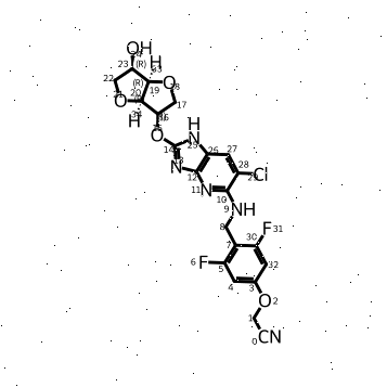 N#CCOc1cc(F)c(CNc2nc3nc(O[C@@H]4CO[C@H]5[C@@H]4OC[C@H]5O)[nH]c3cc2Cl)c(F)c1